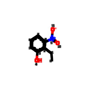 CCc1c(O)cccc1[N+](=O)[O-]